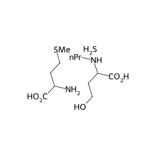 CCCNC(CCO)C(=O)O.CSCCC(N)C(=O)O.S